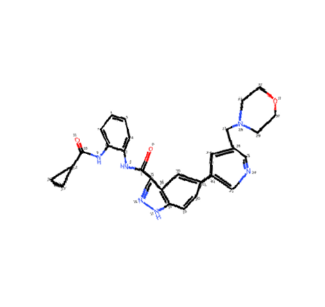 O=C(Nc1ccccc1NC(=O)C1CC1)c1n[nH]c2ccc(-c3cncc(CN4CCOCC4)c3)cc12